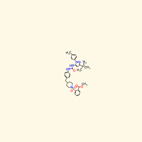 COC(=O)c1ccccc1S(=O)(=O)N1CCC(Cc2ccc(NC(=O)Nc3cc(C(C)(C)C)nn3-c3ccc(C)cc3)cc2)CC1